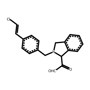 O=CC(=O)C1c2ccccc2CN1Cc1ccc(C=CCl)cc1